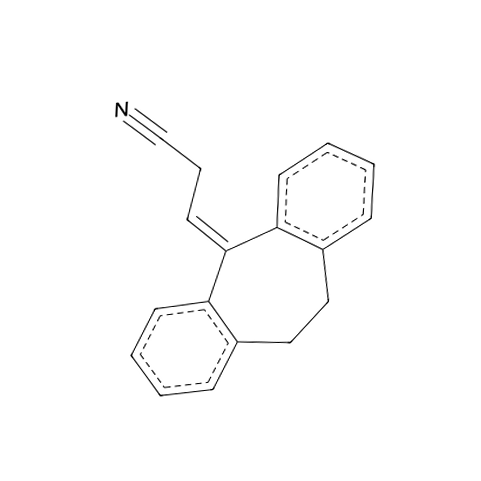 N#CCC=C1c2ccccc2CCc2ccccc21